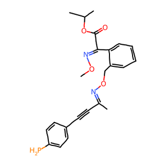 CO/N=C(/C(=O)OC(C)C)c1ccccc1CO/N=C(\C)C#Cc1ccc(P)cc1